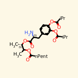 CCCCCC(=O)OC(C)[C@H](C)OC(=O)[C@@H](N)Cc1ccc(OC(=O)C(C)C)c(OC(=O)C(C)C)c1